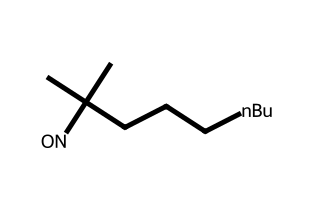 CCCCCCCC(C)(C)N=O